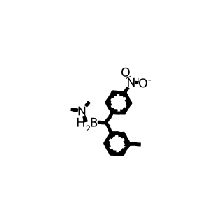 BC(c1ccc([N+](=O)[O-])cc1)c1cccc(C)c1.CN(C)C